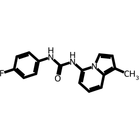 Cc1ccn2c(NC(=O)Nc3ccc(F)cc3)cccc12